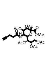 C#CCCC(=O)NC1C(OC(C)=O)CC(OC(C)=O)(C(=O)OC)OC1[C@H](OC(C)=O)[C@@H](COC(C)=O)OC(C)=O